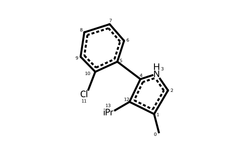 Cc1c[nH]c(-c2ccccc2Cl)c1C(C)C